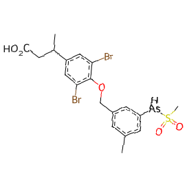 Cc1cc(COc2c(Br)cc(C(C)CC(=O)O)cc2Br)cc([AsH]S(C)(=O)=O)c1